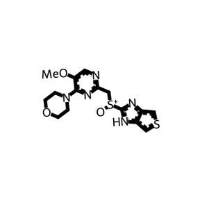 COc1cnc(C[S+]([O-])c2nc3cscc3[nH]2)nc1N1CCOCC1